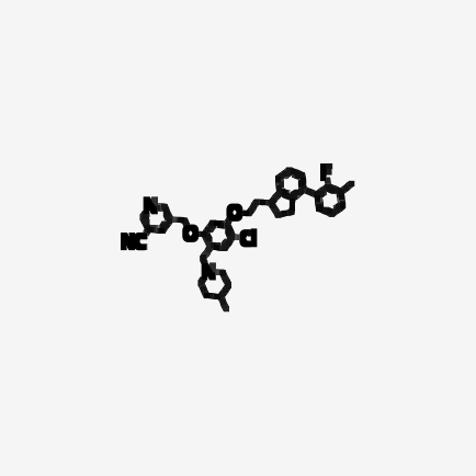 Cc1cccc(-c2cccc3c2CCC3CCOc2cc(OCc3cncc(C#N)c3)c(CN3CCC(C)CC3)cc2Cl)c1F